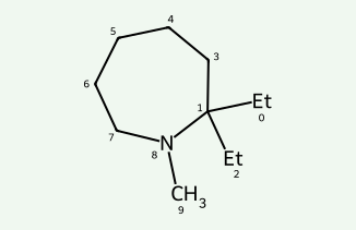 CCC1(CC)CCCCCN1C